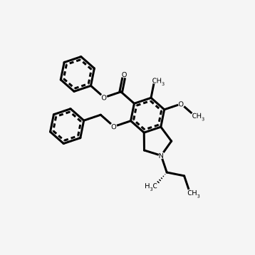 CC[C@H](C)N1Cc2c(c(OCc3ccccc3)c(C(=O)Oc3ccccc3)c(C)c2OC)C1